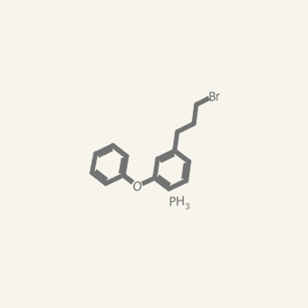 BrCCCc1cccc(Oc2ccccc2)c1.P